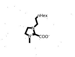 CCCCCCCCN1CC[N+](C)=C1C(=O)[O-]